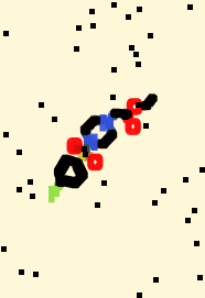 CCOC(=O)CN1CCN(S(=O)(=O)c2ccc(F)cc2)CC1